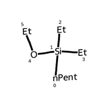 CCCCC[Si](CC)(CC)OCC